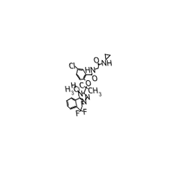 Cn1c(-c2ccccc2C(F)(F)F)nnc1C(C)(C)Oc1ccc(Cl)cc1C(=O)NCC(=O)NC1CC1